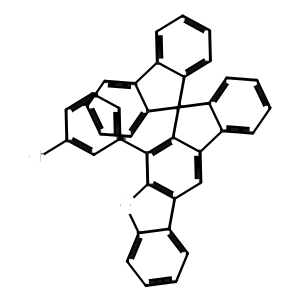 Clc1cccc(-c2c3c(cc4c2oc2ccccc24)-c2ccccc2C32c3ccccc3-c3ccccc32)c1